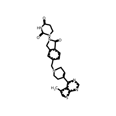 Cc1csc2ncnc(C3=CCN(Cc4ccc5c(c4)CN(N4CCC(=O)NC4=O)C5=O)CC3)c12